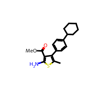 COC(=O)c1c(N)sc(C)c1-c1ccc(C2CCCCC2)cc1